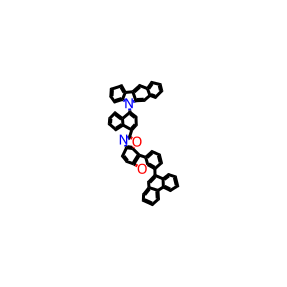 c1ccc2cc3c(cc2c1)c1ccccc1n3-c1ccc(-c2nc3ccc4oc5c(-c6cc7ccccc7c7ccccc67)cccc5c4c3o2)c2ccccc12